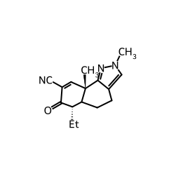 CC[C@@H]1C(=O)C(C#N)=C[C@]2(C)c3nn(C)cc3CCC12